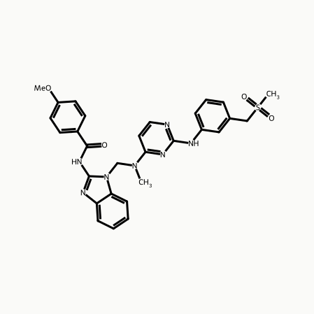 COc1ccc(C(=O)Nc2nc3ccccc3n2CN(C)c2ccnc(Nc3cccc(CS(C)(=O)=O)c3)n2)cc1